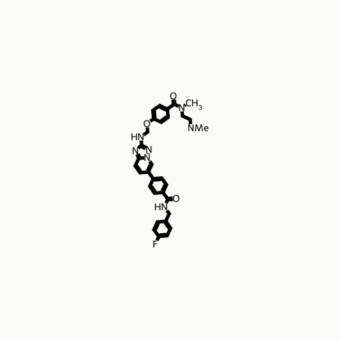 CNCCN(C)C(=O)c1ccc(OCNc2nc3ccc(-c4ccc(C(=O)NCc5ccc(F)cc5)cc4)cn3n2)cc1